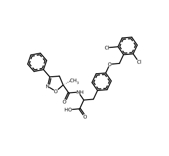 C[C@@]1(C(=O)NC(Cc2ccc(OCc3c(Cl)cccc3Cl)cc2)C(=O)O)CC(c2ccccc2)=NO1